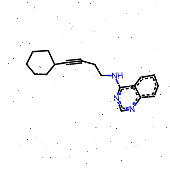 C(#CC1CCCCC1)CCNc1ncnc2ccccc12